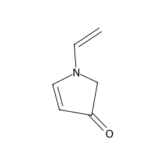 C=CN1C=CC(=O)C1